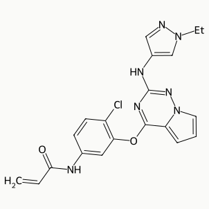 C=CC(=O)Nc1ccc(Cl)c(Oc2nc(Nc3cnn(CC)c3)nn3cccc23)c1